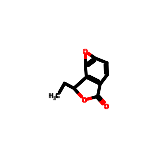 CCC1OC(=O)c2ccc3c(c21)O3